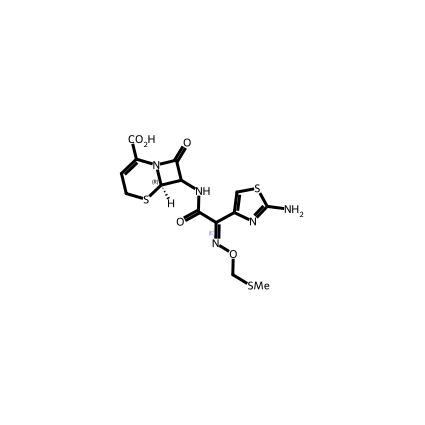 CSCO/N=C(/C(=O)NC1C(=O)N2C(C(=O)O)=CCS[C@H]12)c1csc(N)n1